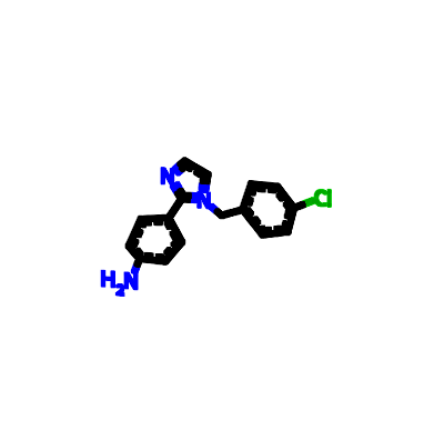 Nc1ccc(-c2nccn2Cc2ccc(Cl)cc2)cc1